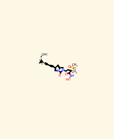 CC(=O)OC[C@H]1C[C@@H]1C#CC#Cc1cc2n(c1)C(=O)N(CCC(C)(C(=O)NO)S(C)(=O)=O)C2